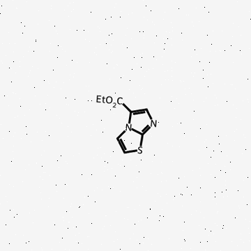 CCOC(=O)c1cnc2sccn12